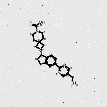 CCc1cnc(-c2ccc3c(c2)CC[C@H]3N2CC3(CCN(C(=O)O)CC3)C2)nc1